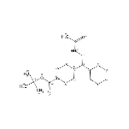 CC(=O)NCC(C1CCCCC1)N1CCN(C(=O)OC(C)(C)C)CC1